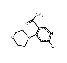 NC(=O)c1cnc(O)cc1N1CCOCC1